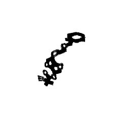 CCC(C)(C)C(=O)OC1COC2C(OCOCC3(C)CCCCC3)COC12